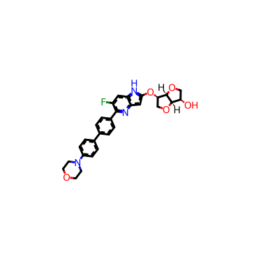 O[C@@H]1CO[C@H]2[C@@H]1OC[C@H]2Oc1cc2nc(-c3ccc(-c4ccc(N5CCOCC5)cc4)cc3)c(F)cc2[nH]1